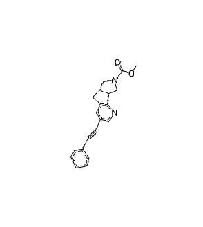 COC(=O)N1CC2Cc3cc(C#Cc4ccccc4)cnc3C2C1